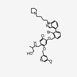 COc1cncc(COc2cc(OCc3cccc(-c4cccc5c4cnn5CCCCN4CCCC4)c3Br)c(Cl)cc2CNC(C)CO)c1